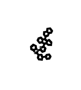 c1ccc(-c2cccc(-c3nc4ccccc4n3-c3cccc(-c4c5ccccc5c(-c5ccc6ccccc6c5)c5ccccc45)n3)c2)cc1